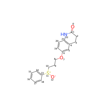 O=C1CCc2cc(OCCC[S+]([O-])c3ccccc3)ccc2N1